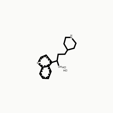 Cl.Cl.OC(CCC1CCNCC1)c1ccnc2ccccc12